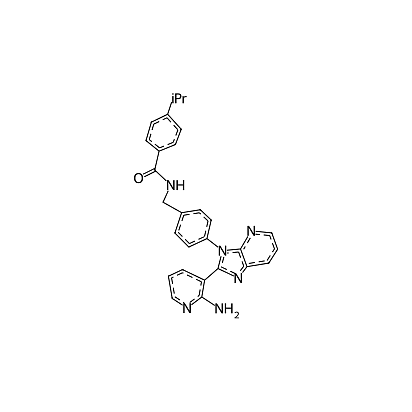 CC(C)c1ccc(C(=O)NCc2ccc(-n3c(-c4cccnc4N)nc4cccnc43)cc2)cc1